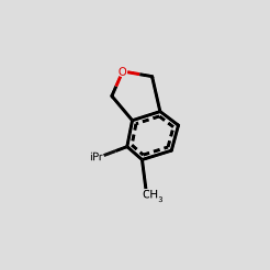 Cc1ccc2c(c1C(C)C)COC2